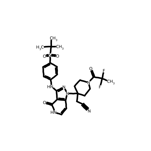 CC(F)(F)C(=O)N1CCC(CC#N)(n2nc(Nc3ccc(S(=O)(=O)C(C)(C)C)cc3)c3c(=O)[nH]ccc32)CC1